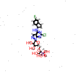 C[C@](CO)(OC[C@H]1O[C@@H](n2ncc3c(N[C@@H]4CCc5cc(F)ccc54)nc(Cl)nc32)[C@H](O)[C@@H]1O)P(=O)(O)O